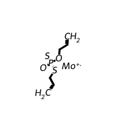 C=CCOP([O-])(=S)SCC=C.[Mo+]